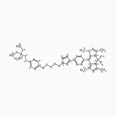 CC1=CC(C)C2=C(c3ccc(-c4cn(CCCCCc5ccc(CCC(N)(CO)CO)cc5)nn4)cc3)c3c(C)cc(C)n3C(F)(F)N12